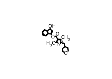 Cc1nn(CC2CCOCC2)c(C)c1C(=O)OC1=CC(O)c2ccccc21